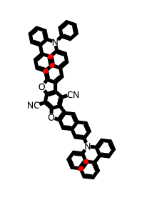 N#Cc1c2oc3cc4cc(N(c5ccccc5)c5ccccc5-c5ccccc5)ccc4cc3c2c(C#N)c2c1oc1cc3cc(N(c4ccccc4)c4ccccc4-c4ccccc4)ccc3cc12